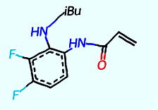 C=CC(=O)Nc1ccc(F)c(F)c1NC(C)CC